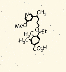 CCC(OCCCC(C)c1cncc(OC)c1)C1=CC=C(C(=O)O)C=C(C)C1C